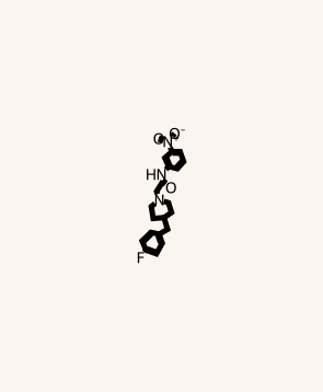 O=C(CN1CCC(Cc2ccc(F)cc2)CC1)Nc1cccc([N+](=O)[O-])c1